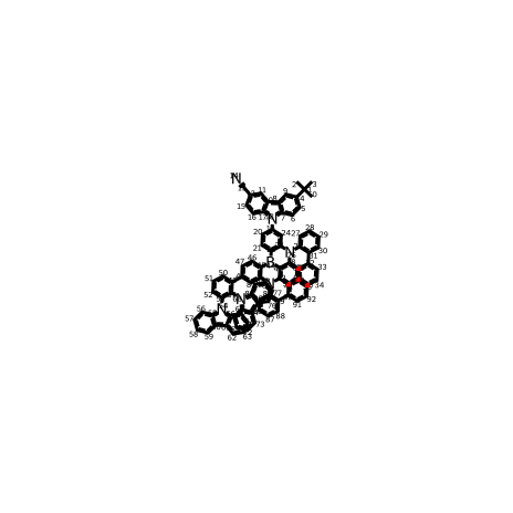 CC(C)(C)c1ccc2c(c1)c1cc(C#N)ccc1n2-c1ccc2c(c1)N(c1ccccc1-c1ccccc1)c1cccc3c1B2c1ccc(-c2cccc(-n4c5ccccc5c5ccccc54)c2-n2c4ccccc4c4ccccc42)cc1N3c1ccccc1-c1ccccc1